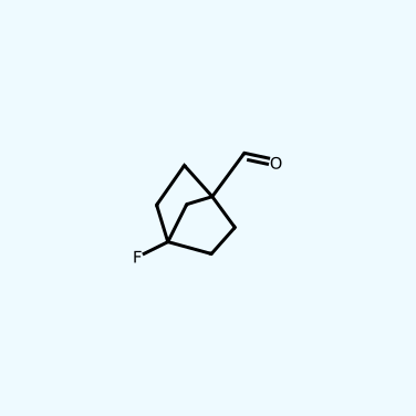 O=CC12CCC(F)(CC1)C2